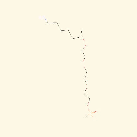 C[C@H](CCCCCN)OCCOCCOCCOP(=O)(O)N=O